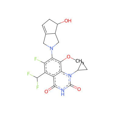 COc1c(N2CC3=CCC(O)C3C2)c(F)c(C(F)F)c2c(=O)[nH]c(=O)n(C3CC3)c12